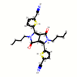 CCCCN1C(=O)C2=C(c3ccc(C#N)s3)N(CCCC)C(=O)C2=C1c1ccc(C#N)s1